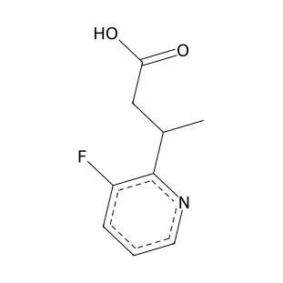 CC(CC(=O)O)c1ncccc1F